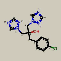 OC(Cc1ccc(Cl)cc1)(Cn1cncn1)Cn1cncn1